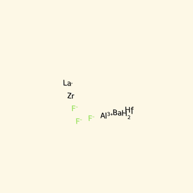 [Al+3].[BaH2].[F-].[F-].[F-].[Hf].[La].[Zr]